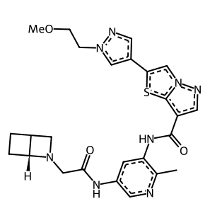 COCCn1cc(-c2cn3ncc(C(=O)Nc4cc(NC(=O)CN5CC6CC[C@H]65)cnc4C)c3s2)cn1